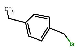 FC(F)(F)Cc1ccc(CBr)cc1